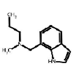 CCCN(C)Cc1cccc2cc[nH]c12